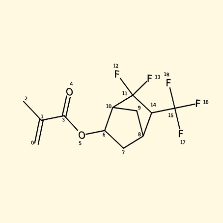 C=C(C)C(=O)OC1CC2CC1C(F)(F)C2C(F)(F)F